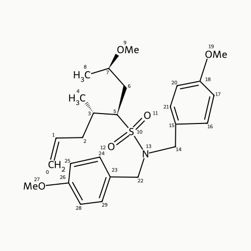 C=CC[C@H](C)[C@@H](C[C@@H](C)OC)S(=O)(=O)N(Cc1ccc(OC)cc1)Cc1ccc(OC)cc1